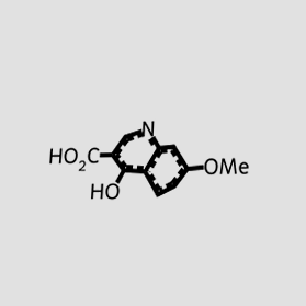 COc1ccc2c(O)c(C(=O)O)cnc2c1